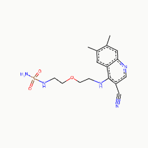 Cc1cc2ncc(C#N)c(NCCOCCNS(N)(=O)=O)c2cc1C